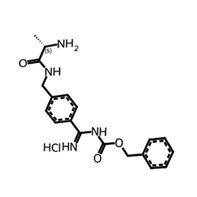 C[C@H](N)C(=O)NCc1ccc(C(=N)NC(=O)OCc2ccccc2)cc1.Cl